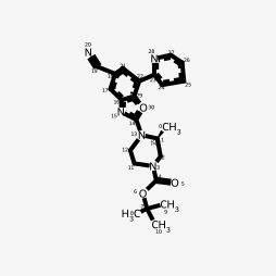 C[C@H]1CN(C(=O)OC(C)(C)C)CCN1c1nc2cc(C#N)cc(-c3ccccn3)c2o1